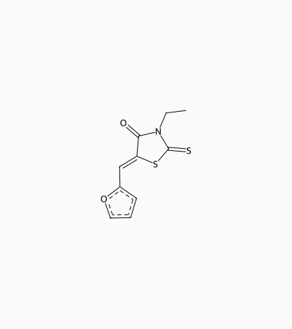 CCN1C(=O)C(=Cc2ccco2)SC1=S